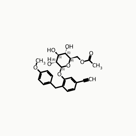 C#Cc1ccc(Cc2ccc(OC)cc2)c(O[C@@H]2O[C@H](COC(C)=O)[C@@H](O)[C@H](O)[C@H]2O)c1